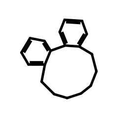 c1ccc2c(c1)CCCCCCCc1ccccc1-2